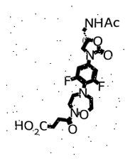 CC(=O)NC[C@H]1CN(c2cc(F)c(N3CCON(C(=O)CCC(=O)O)CC3)c(F)c2)C(=O)O1